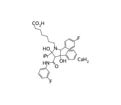 CC(C)C1(O)C(C(=O)Nc2cccc(F)c2)C(O)(c2ccccc2)C(c2ccc(F)cc2)N1CCCCCCC(=O)O.[CaH2]